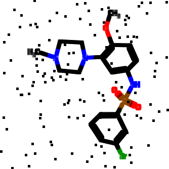 COc1ccc(NS(=O)(=O)c2cccc(Br)c2)cc1N1CCN(C)CC1